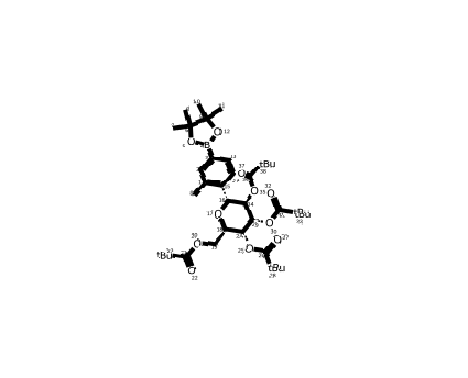 Cc1cc(B2OC(C)(C)C(C)(C)O2)ccc1[C@H]1O[C@H](COC(=O)C(C)(C)C)[C@@H](OC(=O)C(C)(C)C)[C@@H](OC(=O)C(C)(C)C)[C@@H]1OC(=O)C(C)(C)C